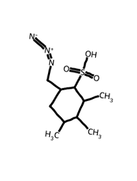 CC1CC(CN=[N+]=[N-])C(S(=O)(=O)O)C(C)C1C